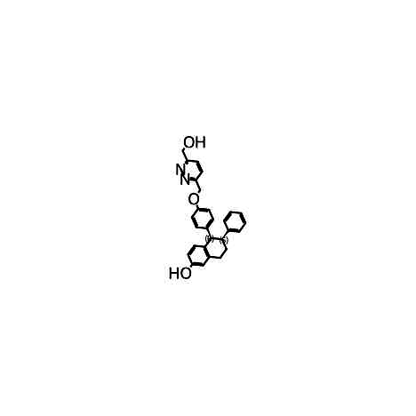 OCc1ccc(COc2ccc([C@@H]3c4ccc(O)cc4CC[C@@H]3c3ccccc3)cc2)nn1